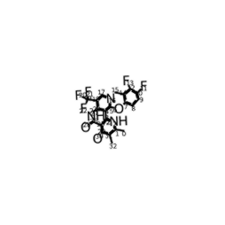 Cc1[nH]c(-c2c(Oc3ccc(F)c(F)c3C)ncc(C(F)(F)F)c2C)c(C(N)=O)c(=O)c1C